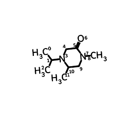 CC(C)N1CC(=O)N(C)CC1C